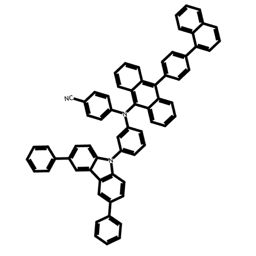 N#Cc1ccc(N(c2cccc(-n3c4ccc(-c5ccccc5)cc4c4cc(-c5ccccc5)ccc43)c2)c2c3ccccc3c(-c3ccc(-c4cccc5ccccc45)cc3)c3ccccc23)cc1